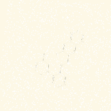 CC1CN(c2ccncc2NCc2cc3nccnc3cc2Cl)CCN1